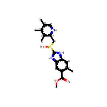 COC(=O)c1cc2nc([S+]([O-])Cc3ncc(C)c(C)c3C)[nH]c2cc1C